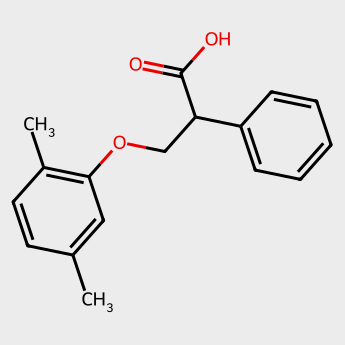 Cc1ccc(C)c(OCC(C(=O)O)c2ccccc2)c1